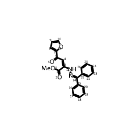 COC(=O)C(=CC(=O)c1ccco1)NN=C(c1ccccc1)c1ccccc1